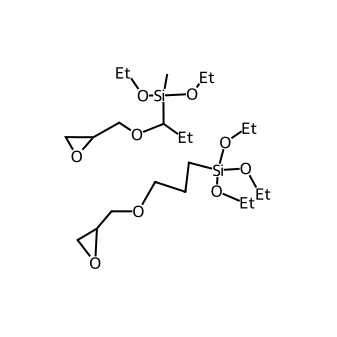 CCO[Si](C)(OCC)C(CC)OCC1CO1.CCO[Si](CCCOCC1CO1)(OCC)OCC